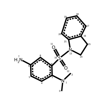 CN(C)c1ccc(N)cc1S(=O)(=O)N1CCc2ccccc21